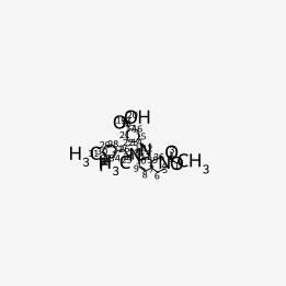 COC(=O)N1CCc2ccc3c(nc([C@H]4CC[C@H](C(=O)O)CC4)n3[C@H](C)Cc3ccc(C)c(F)c3)c2C1